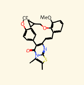 COc1cccc(C=Cc2nc3sc(C)c(C)n3c(=O)c2-c2ccc(OC(F)(F)F)cc2)c1OCC1CC1